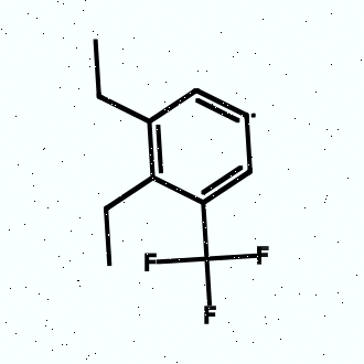 CCc1c[c]cc(C(F)(F)F)c1CC